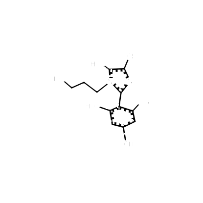 CCCCn1c(-c2c(C)cc(C)cc2C)nc(C)c1C